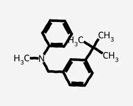 CN(Cc1cccc(C(C)(C)C)c1)c1ccccc1